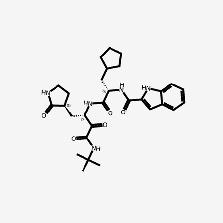 CC(C)(C)NC(=O)C(=O)[C@H](C[C@@H]1CCNC1=O)NC(=O)[C@H](CC1CCCC1)NC(=O)c1cc2ccccc2[nH]1